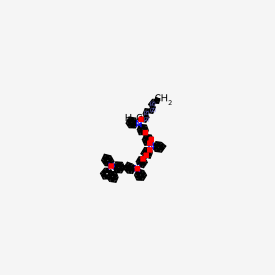 C=C\C=C/C=C\C=C/C=C\C(=C)N(c1ccccc1)c1ccc(-c2ccc(N(c3ccccc3)c3ccc(-c4ccc(N(c5ccccc5)c5ccc(-c6ccc(N(c7ccccc7)c7cccc8ccccc78)cc6)cc5)cc4)cc3)cc2)cc1